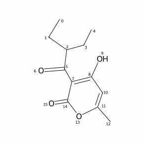 CCC(CC)C(=O)c1c(O)cc(C)oc1=O